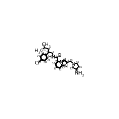 CC(C)CC(CNC(=O)c1cccc2nc(CN3CC[C@@H](N)C3)cn12)c1ccc(Cl)cc1